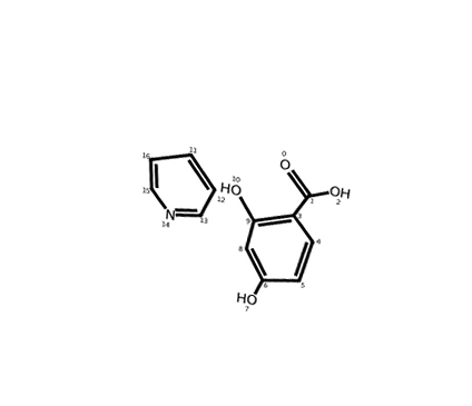 O=C(O)c1ccc(O)cc1O.c1ccncc1